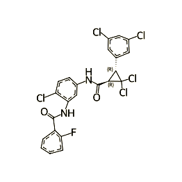 O=C(Nc1cc(NC(=O)[C@H]2[C@H](c3cc(Cl)cc(Cl)c3)C2(Cl)Cl)ccc1Cl)c1ccccc1F